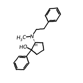 CN(CCc1ccccc1)[C@@H]1CCCC1(O)c1ccccc1